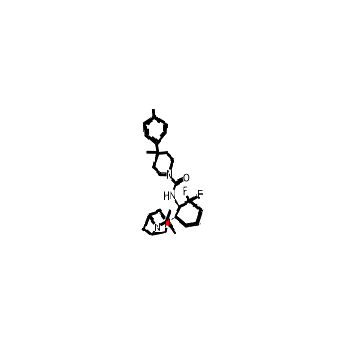 Cc1ccc(C2(C)CCN(C(=O)N[C@@H]3[C@@H](N4CC5CC(C4)N5C(C)C)CCCC3(F)F)CC2)cc1